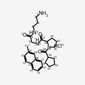 Cl.NCCCNC(=O)[C@@H](Cc1ccc2ccccc2c1)NC(=O)C1CCCN1C(=O)C1CCCC1